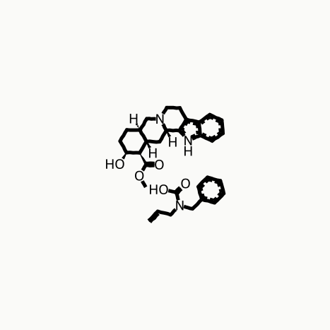 C=CCN(Cc1ccccc1)C(=O)O.COC(=O)[C@@H]1[C@H]2C[C@H]3c4[nH]c5ccccc5c4CCN3C[C@@H]2CC[C@@H]1O